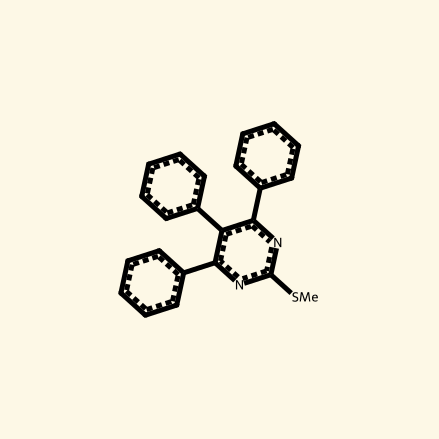 CSc1nc(-c2ccccc2)c(-c2ccccc2)c(-c2ccccc2)n1